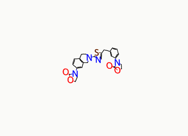 O=C1OCCN1c1cccc(Cc2cnc(N3CCc4ccc(N5CCOC5=O)cc4C3)s2)c1